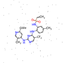 C=CS(=O)(=O)Nc1cc(C)ccc1Nc1nc(Nc2cc(OC)ncc2C)ncc1C(F)(F)F